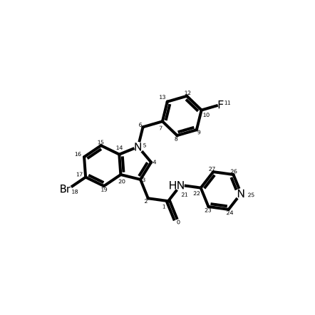 C=C(Cc1cn(Cc2ccc(F)cc2)c2ccc(Br)cc12)Nc1ccncc1